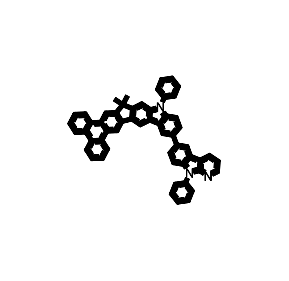 CC1(C)c2cc3c4ccccc4c4ccccc4c3cc2-c2cc3c4cc(-c5ccc6c(c5)c5cccnc5n6-c5ccccc5)ccc4n(-c4ccccc4)c3cc21